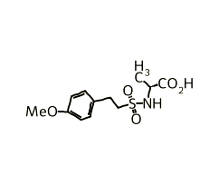 COc1ccc(CCS(=O)(=O)N[C@@H](C)C(=O)O)cc1